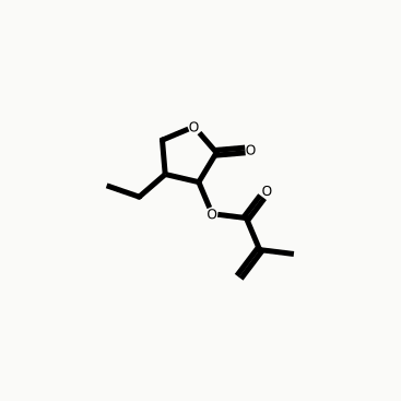 C=C(C)C(=O)OC1C(=O)OCC1CC